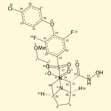 COCCOC(=O)N1[C@H]2CC[C@@H]1[C@@H](C(=O)NO)N(S(=O)(=O)c1cc(F)c(Oc3ccc(Cl)cc3)c(F)c1)C2